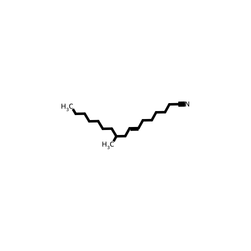 CCCCCCCC(C)C/C=C/CCCCCC#N